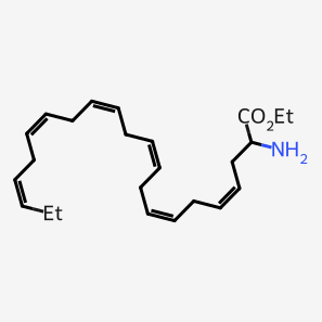 CC/C=C\C/C=C\C/C=C\C/C=C\C/C=C\C/C=C\CC(N)C(=O)OCC